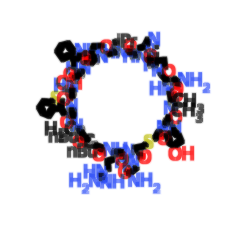 CCCC[C@@H]1CC(=O)[C@H](CCCC)N(C)C(=O)[C@H](Cc2csc3ccccc23)NC(=O)[C@H](CO)NC(=O)[C@H](Cc2c[nH]c3ccccc23)NC(=O)[C@H]2CCCN2C(=O)[C@H](CC(C)C)NC(=O)[C@H](Cc2cnc[nH]2)NC(=O)[C@@H]2CCCN2C(=O)[C@H](CC(N)=O)NC(=O)[C@@H](C)N(C)C(=O)[C@H](Cc2ccc(O)cc2)NC(=O)CSC[C@@H](C(=O)NCC(N)=O)NC(=O)[C@H](CCCNC(=N)N)NC1=O